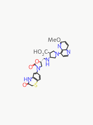 COc1ccc2nccc(N3C[C@H](NC[C@@H]4CN(c5ccc6c(c5)NC(=O)CS6)C(=O)O4)[C@@H](C(=O)O)C3)c2n1